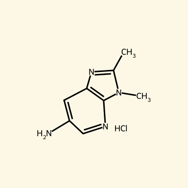 Cc1nc2cc(N)cnc2n1C.Cl